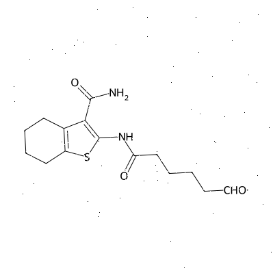 NC(=O)c1c(NC(=O)CCCC[C]=O)sc2c1CCCC2